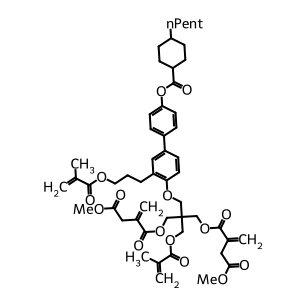 C=C(C)C(=O)OCCCc1cc(-c2ccc(OC(=O)C3CCC(CCCCC)CC3)cc2)ccc1OCC(COC(=O)C(=C)C)(COC(=O)C(=C)CC(=O)OC)COC(=O)C(=C)CC(=O)OC